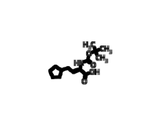 CC(C)(C)OC(=O)NC(=CCC1CCCC1)C(=O)O